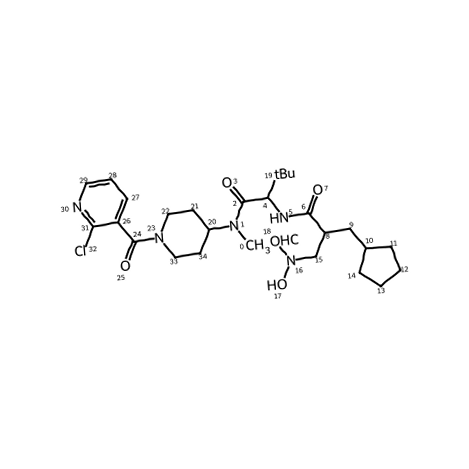 CN(C(=O)C(NC(=O)C(CC1CCCC1)CN(O)C=O)C(C)(C)C)C1CCN(C(=O)c2cccnc2Cl)CC1